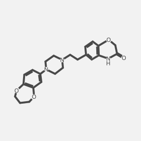 O=C1COc2ccc(CCN3CCN(c4ccc5c(c4)OCCCO5)CC3)cc2N1